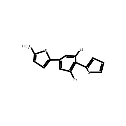 CCc1cc(-c2ccc(C(=O)O)s2)cc(CC)c1-c1cccs1